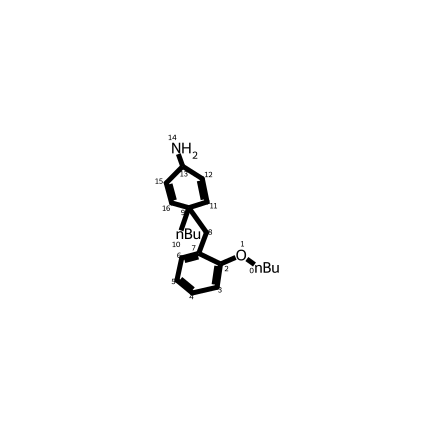 CCCCOc1ccccc1CC1(CCCC)C=CC(N)C=C1